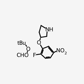 CC(C)(C)OC=O.O=[N+]([O-])c1ccc(F)c(O[C@H]2CCNC2)c1